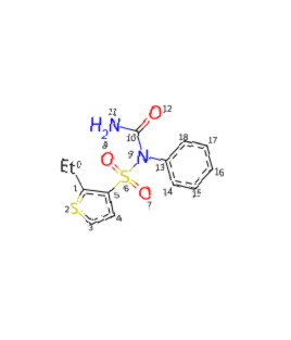 CCc1sccc1S(=O)(=O)N(C(N)=O)c1ccccc1